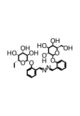 CC[C@H]1O[C@@H](Oc2ccccc2/C=N/N=C/c2ccccc2O[C@@H]2O[C@H](CO)[C@H](O)[C@H](O)[C@H]2O)[C@H](O)[C@@H](O)[C@H]1O